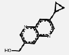 OCc1cnc2cc(C3CC3)cnc2c1